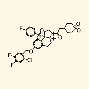 O=C(CC1CCS(=O)(=O)CC1)N1CC[C@@]2(S(=O)(=O)c3ccc(F)cc3)c3ccc(OCc4cc(F)c(F)cc4Cl)cc3CC[C@@H]12